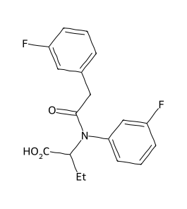 CCC(C(=O)O)N(C(=O)Cc1cccc(F)c1)c1cccc(F)c1